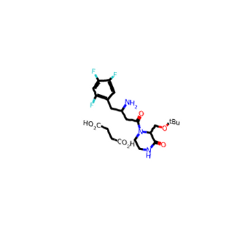 CC(C)(C)OCC1C(=O)NCCN1C(=O)CC(N)Cc1cc(F)c(F)cc1F.O=C(O)CCC(=O)O